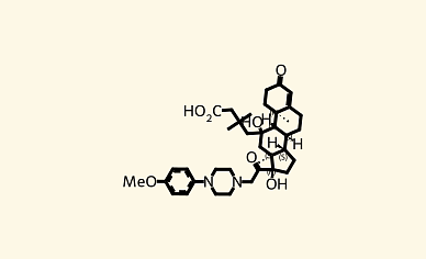 COc1ccc(N2CCN(CC(=O)[C@@]3(O)CC[C@H]4[C@@H]5CCC6=CC(=O)CC[C@]6(C)[C@H]5C(O)(CC(C)(C)CC(=O)O)C[C@@]43C)CC2)cc1